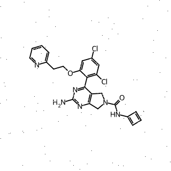 Nc1nc2c(c(-c3c(Cl)cc(Cl)cc3OCCc3ccccn3)n1)CN(C(=O)NC1=CC=C1)C2